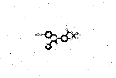 CCCCCCCCc1ccc(CN(C(=O)Cc2cccs2)c2ccc3c(c2)C(=O)OC(C)(C)O3)cc1